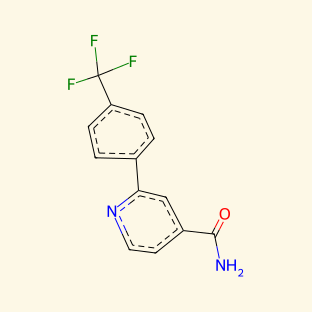 NC(=O)c1ccnc(-c2ccc(C(F)(F)F)cc2)c1